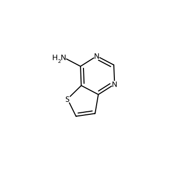 Nc1ncnc2ccsc12